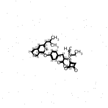 CCN(CC)N(c1cc(=O)c1=O)C(Cc1ccc(Oc2nc(CC(C)C)cc3ccncc23)cc1)C(=O)O